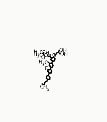 CCCCCC1CCC(c2ccc(-c3ccc(-c4ccc(OCCC(CO)CO)c(CCOC(=O)C(C)(C)C)c4)c(CC)c3)c(F)c2)CC1